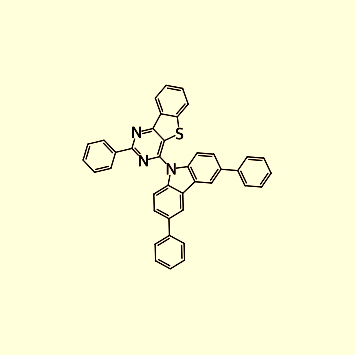 c1ccc(-c2ccc3c(c2)c2cc(-c4ccccc4)ccc2n3-c2nc(-c3ccccc3)nc3c2sc2ccccc23)cc1